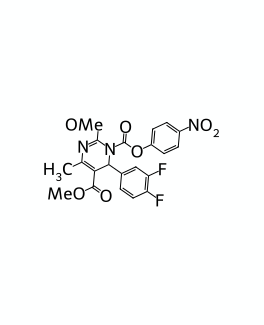 COC(=O)C1=C(C)N=C(OC)N(C(=O)Oc2ccc([N+](=O)[O-])cc2)C1c1ccc(F)c(F)c1